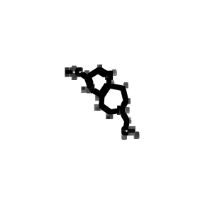 CCN1CCc2ncc(C)nc2CC1